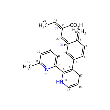 C=c1ccc(C2=C(c3cccc(C)n3)NC=CC2)c/c1=C/C(=C\C)C(=O)O